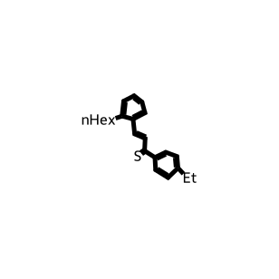 CCCCCCc1ccccc1C=CC(=S)c1ccc(CC)cc1